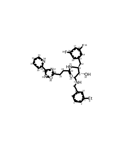 CCc1cccc(CNC[C@@H](O)[C@H](Cc2cc(F)cc(F)c2)NC(=O)CCc2nc(-c3ccccn3)no2)c1